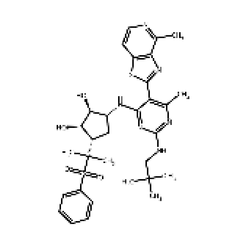 Cc1nc(NCC(C)(C)C)nc(N[C@@H]2C[C@H](C(C)(C)S(=O)(=O)c3ccccc3)[C@@H](O)[C@H]2O)c1-c1nc2c(C)nccc2s1